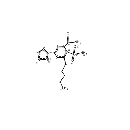 CCCCCc1cccc(C(N)=O)c1S(N)(=O)=O.c1cn[nH]c1